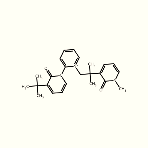 Cn1cccc(C(C)(C)C[n+]2ccccc2-n2cccc(C(C)(C)C)c2=O)c1=O